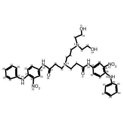 O=C(CCN(CCCN(CCO)CCO)CCC(=O)Nc1ccc(Nc2ccccc2)c([N+](=O)[O-])c1)Nc1ccc(Nc2ccccc2)c([N+](=O)[O-])c1